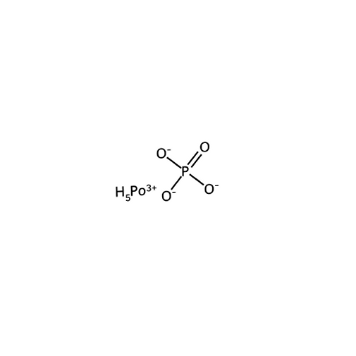 O=P([O-])([O-])[O-].[PoH5+3]